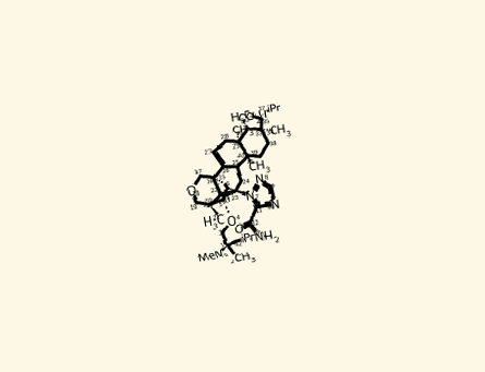 CN[C@@](C)(CO[C@H]1[C@H](n2ncnc2C(N)=O)C[C@@]23COC[C@]1(C)[C@@H]2CCC1C3=CC[C@@]2(C)[C@H](C(=O)O)[C@@](C)([C@H](C)C(C)C)CC[C@]12C)C(C)C